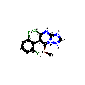 CC(C)Sc1c(-c2c(F)cccc2Cl)c(Cl)nc2ncnn12